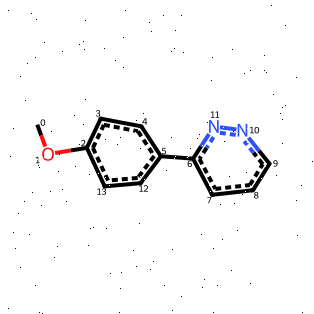 COc1ccc(-c2cccnn2)cc1